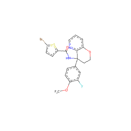 O=C(NC1(c2ccc(OC(F)(F)F)c(F)c2)CCOc2cccnc21)c1ccc(Br)s1